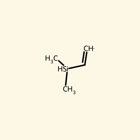 [CH]=C[SiH](C)C